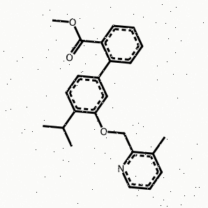 COC(=O)c1ccccc1-c1ccc(C(C)C)c(OCc2ncccc2C)c1